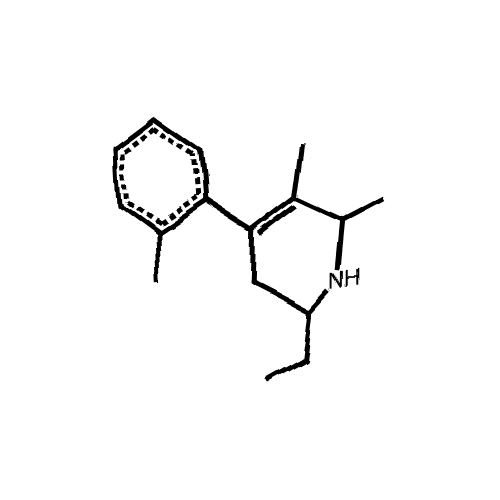 CCC1CC(c2ccccc2C)=C(C)C(C)N1